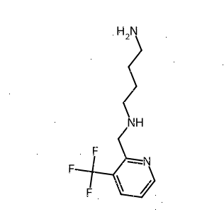 NCCCCNCc1ncccc1C(F)(F)F